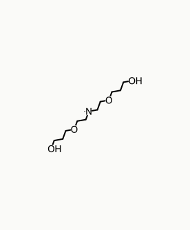 OCCCOCC[N]CCOCCCO